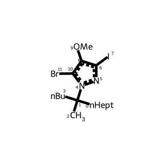 CCCCCCCC(C)(CCCC)n1nc(I)c(OC)c1Br